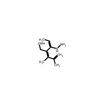 C=C(C)/C(C)=C(COC)\C(=C/C)NN